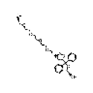 C#CCOCCOCCOCCOCCn1cc(C(OCC#C)(c2ccccc2)c2ccccc2)nn1